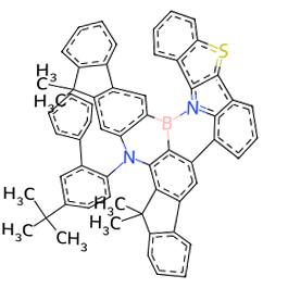 CC(C)(C)c1ccc(N2c3cc4c(cc3B3c5c(cc6c(c52)C(C)(C)c2ccccc2-6)-c2cccc5c6sc7ccccc7c6n3c25)-c2ccccc2C4(C)C)c(-c2ccccc2)c1